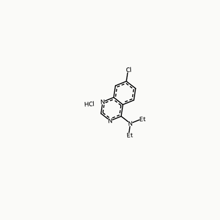 CCN(CC)c1ncnc2cc(Cl)ccc12.Cl